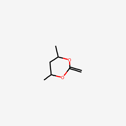 C=C1OC(C)CC(C)O1